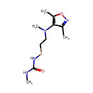 CNC(=O)NSCCN(C)c1c(C)noc1C